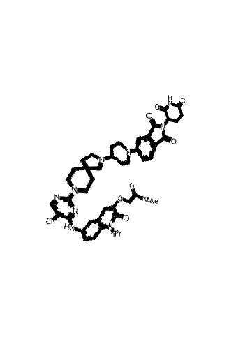 CNC(=O)COc1cc2cc(Nc3nc(N4CCC5(CC4)CCN(C4CCN(c6ccc7c(c6)C(=O)N(C6CCC(=O)NC6=O)C7=O)CC4)C5)ncc3Cl)ccc2n(C(C)C)c1=O